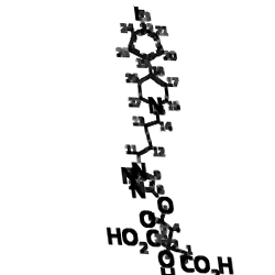 O=C(O)CC(O)(CC(=O)Oc1cn(CCCCN2CC=C(c3ccc(F)cc3)CC2)nn1)C(=O)O